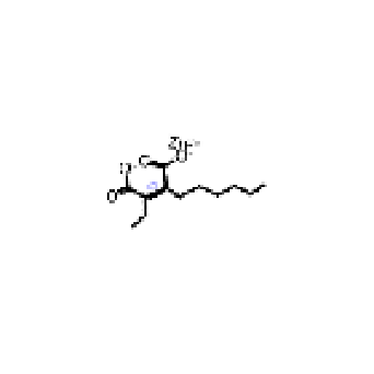 CCCCCC/C(C(=O)[O-])=C(\CC)C(=O)[O-].[Zn+2]